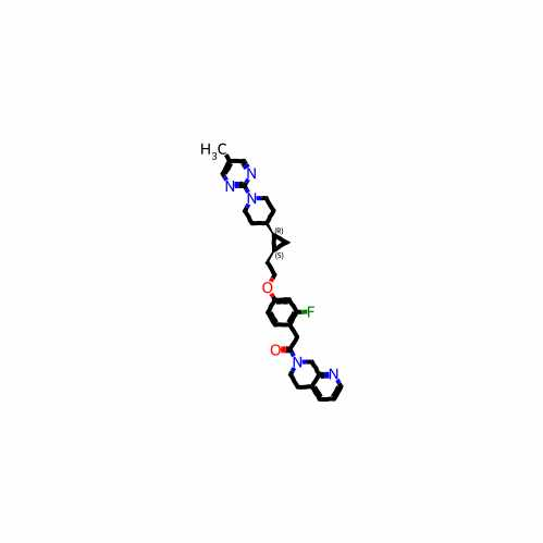 Cc1cnc(N2CCC([C@H]3C[C@H]3CCOc3ccc(CC(=O)N4CCc5cccnc5C4)c(F)c3)CC2)nc1